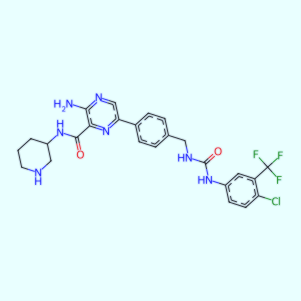 Nc1ncc(-c2ccc(CNC(=O)Nc3ccc(Cl)c(C(F)(F)F)c3)cc2)nc1C(=O)NC1CCCNC1